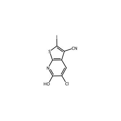 N#Cc1c(I)sc2nc(O)c(Cl)cc12